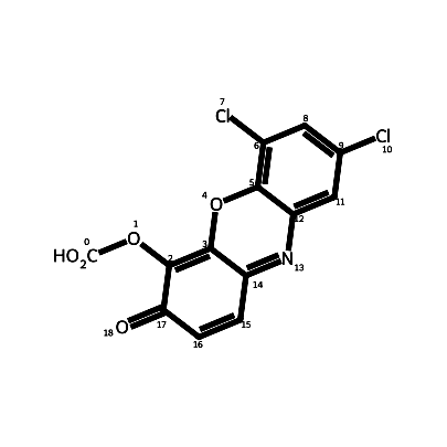 O=C(O)Oc1c2oc3c(Cl)cc(Cl)cc3nc-2ccc1=O